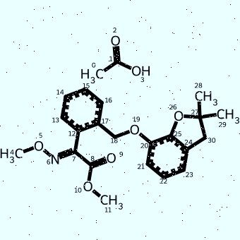 CC(=O)O.CO/N=C(/C(=O)OC)c1ccccc1COc1cccc2c1OC(C)(C)C2